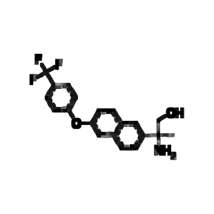 CC(N)(CO)c1ccc2cc(Oc3ccc(C(F)(F)F)cc3)ccc2c1